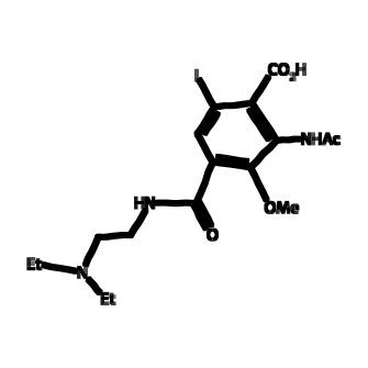 CCN(CC)CCNC(=O)c1cc(I)c(C(=O)O)c(NC(C)=O)c1OC